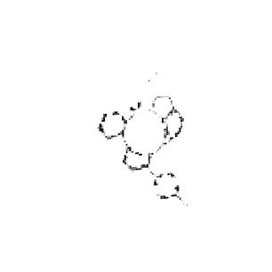 Nc1cnc(-c2ccc3cc2-c2ccc4c(c2)N([C@H](CO)C4)S(=O)(=O)c2ccccc2-3)cn1